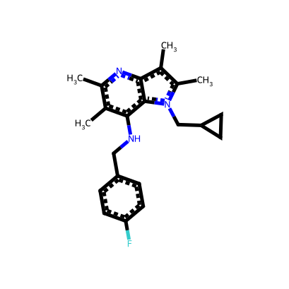 Cc1nc2c(C)c(C)n(CC3CC3)c2c(NCc2ccc(F)cc2)c1C